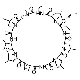 C/C=C/C[C@@H](C)CC1C(=O)N[C@@H](CC)C(=O)N(C)CC(=O)N(C)[C@@H](CC(C)C)C(=O)N[C@H](C(C)C)C(=O)N(C)[C@H](CC(C)C)C(=O)N[C@H](C)C(=O)NC(C)C(=O)N(C)[C@H](CC(C)C)C(=O)N(C)[C@@H](CC(C)C)C(=O)N(C)[C@@H](CC)C(=O)N1C